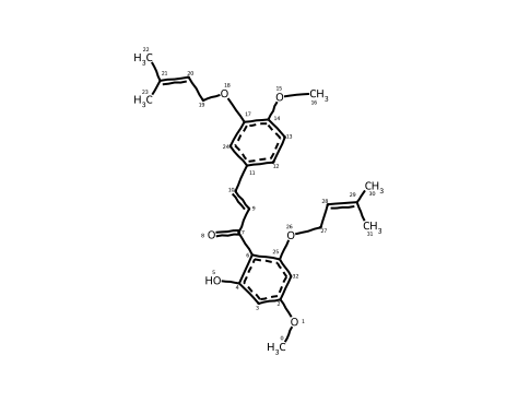 COc1cc(O)c(C(=O)/C=C/c2ccc(OC)c(OCC=C(C)C)c2)c(OCC=C(C)C)c1